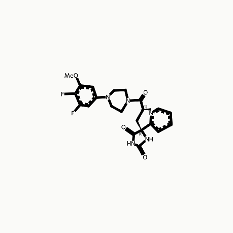 COc1cc(N2CCN(C(=O)[C@@H](C)C[C@@]3(c4ccccn4)NC(=O)NC3=O)CC2)cc(F)c1F